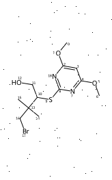 COc1cc(OC)nc(SC(CO)C(C)(C)CBr)n1